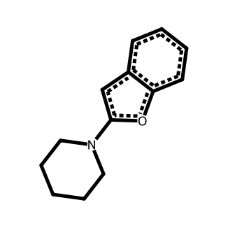 c1ccc2oc(N3CCCCC3)cc2c1